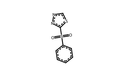 O=S(=O)(c1ccccc1)c1nn[c]s1